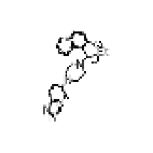 CCOc1ccc2ccccc2c1C(=O)N1CCN(c2ccc3nncn3n2)CC1